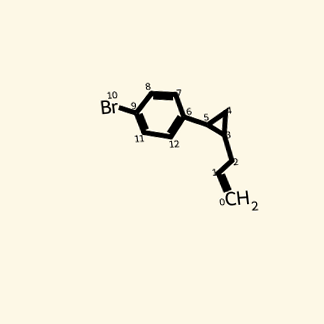 C=CCC1CC1c1ccc(Br)cc1